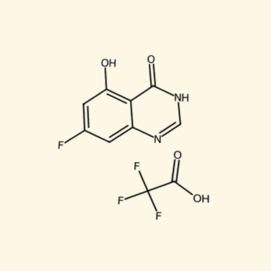 O=C(O)C(F)(F)F.O=c1[nH]cnc2cc(F)cc(O)c12